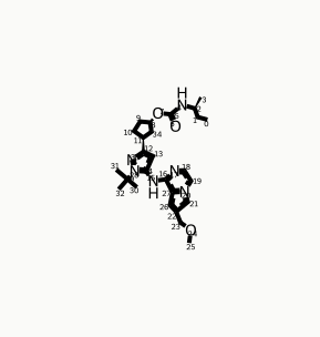 CC[C@H](C)NC(=O)O[C@@H]1CC[C@H](c2cc(Nc3nccn4cc(COC)cc34)n(C(C)(C)C)n2)C1